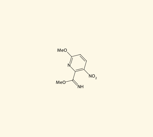 COC(=N)c1nc(OC)ccc1[N+](=O)[O-]